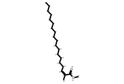 CCCCCCCCCCCCCCCCC=C(C)C(=O)OC